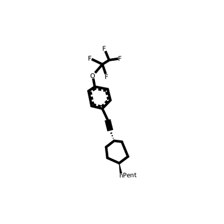 CCCCC[C@H]1CC[C@H](C#Cc2ccc(OC(F)(F)C(F)F)cc2)CC1